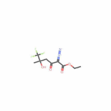 CCOC(=O)C(=[N+]=[N-])C(=O)CC(C)(O)C(F)(F)F